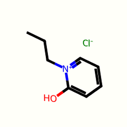 CCC[n+]1ccccc1O.[Cl-]